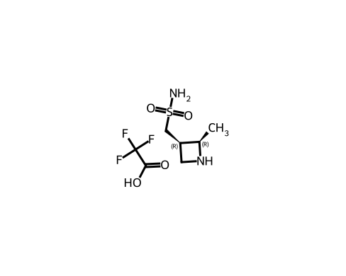 C[C@H]1NC[C@H]1CS(N)(=O)=O.O=C(O)C(F)(F)F